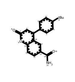 CC(C)(C)c1ccc(-c2cc(=O)oc3ccc(C(N)=O)cc23)cc1